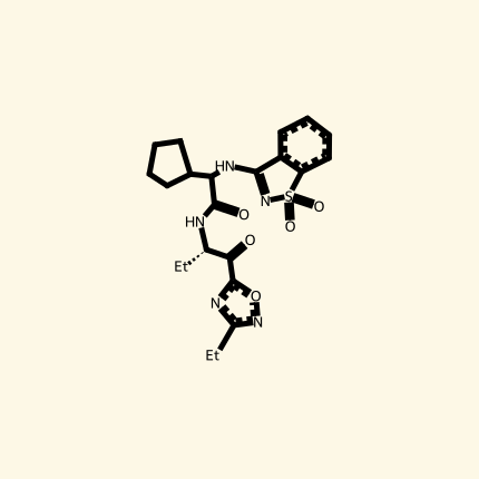 CCc1noc(C(=O)[C@H](CC)NC(=O)C(NC2=NS(=O)(=O)c3ccccc32)C2CCCC2)n1